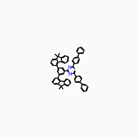 C=C(/N=C(\N=C(/C)c1ccc(-c2ccccc2)cc1)c1cc(-c2cccc3c2-c2ccccc2C3(C)C)cc(-c2cccc3c2-c2ccccc2C3(C)C)c1)c1ccc(-c2ccccc2)cc1